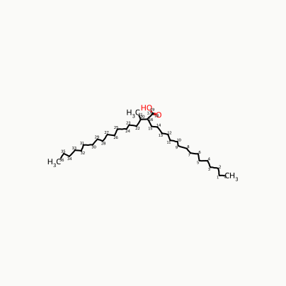 CCCCCCCCCCCCCCCCC(C(=O)O)C(C)CCCCCCCCCCCCCCC